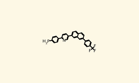 FC(F)(F)c1ccc(-c2ccc3ccc(-c4ccc(-c5ccc(P)cc5)nc4)cc3c2)cc1